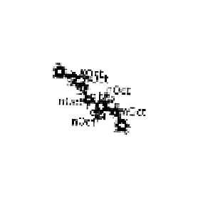 CCCCCCCCc1nc2c(-c3cc(CCCCCCCC)c(-c4cc5c(s4)-c4sc(-c6ccccc6)cc4[Si]5(CCCCCCCC)CCCCCCCC)s3)c3oc(CCCCCCCC)nc3c(-c3cc(CCCCCCCC)c(-c4ccccc4)s3)c2o1